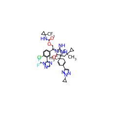 CC(C)(C[C@]1(C2(C)C=CC(c3cnn(C4CC4)n3)=CC2)NC(=N)N([C@H](COC(=O)NC2(C(F)(F)F)CC2)c2ccc(Cl)c(-c3ncnn3C(F)F)c2)C1=O)C1CC1